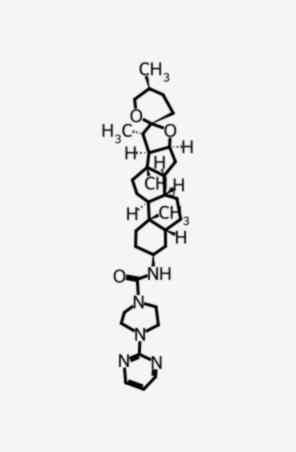 C[C@H]1CC[C@@]2(OC1)O[C@H]1C[C@H]3[C@@H]4CC[C@@H]5C[C@@H](NC(=O)N6CCN(c7ncccn7)CC6)CC[C@]5(C)[C@H]4CC[C@]3(C)[C@H]1[C@@H]2C